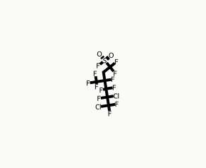 O=S(=O)(F)C(F)(F)CC(F)(C(F)(F)F)C(F)(F)C(F)(Cl)C(F)(F)Cl